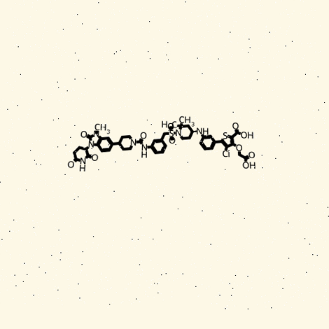 Cn1c(=O)n(C2CCC(=O)NC2=O)c2ccc(C3CCN(C(=O)Nc4cccc(CS(=O)(=O)N5CC[C@H](Nc6cccc(-c7sc(C(=O)O)c(OCC(=O)O)c7Cl)c6)CC5(C)C)c4)CC3)cc21